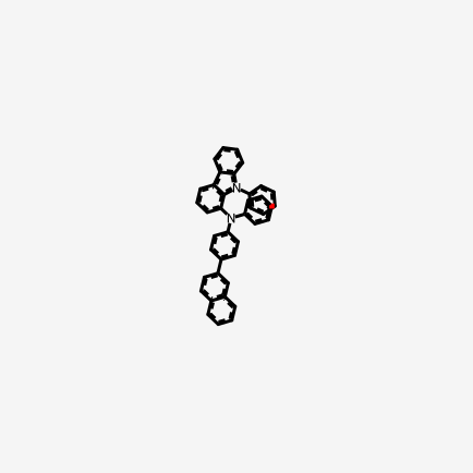 c1ccc(N(c2ccc(-c3ccc4ccccc4c3)cc2)c2cccc3c4ccccc4n(-c4ccccc4)c23)cc1